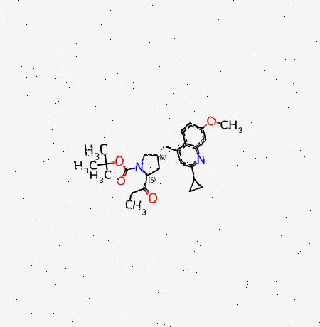 CCC(=O)[C@@H]1C[C@@H](Cc2cc(C3CC3)nc3cc(OC)ccc23)CN1C(=O)OC(C)(C)C